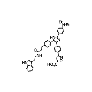 CCN(CC)c1ccc(-c2nc(-c3ccc(C4=NOC(C(=O)O)C4)cc3)c(-c3ccc(/C=C/C(=O)NCCc4c[nH]c5ccccc45)cc3)[nH]2)cc1